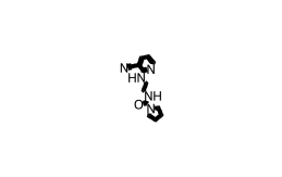 N#Cc1cccnc1NCCNC(=O)N1CCCC1